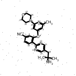 Cc1cc(Oc2cc(C#N)ccc2-c2ncc(CC(C)(C)N)cn2)cc(N2CCOCC2)n1